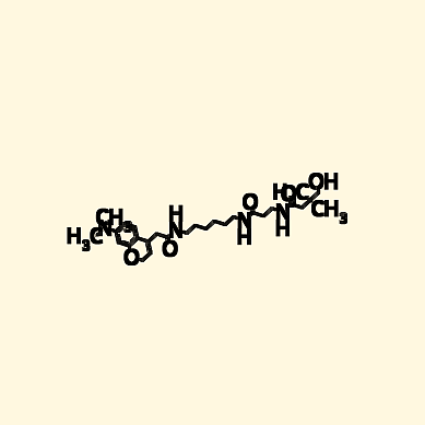 CN(C)c1ccc2c(c1)OCC=C2CC(=O)NCCCCCCNC(=O)CCNC(=O)CC(C)(C)CO